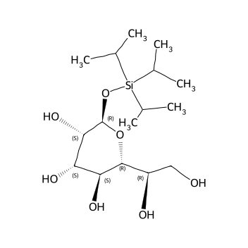 CC(C)[Si](O[C@H]1O[C@H]([C@H](O)CO)[C@@H](O)[C@H](O)[C@@H]1O)(C(C)C)C(C)C